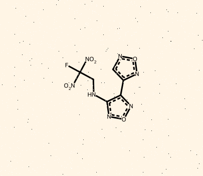 O=[N+]([O-])C(F)(CNc1nonc1-c1cnon1)[N+](=O)[O-]